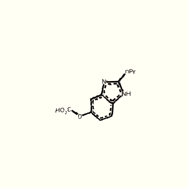 CCCc1nc2cc(OC(=O)O)ccc2[nH]1